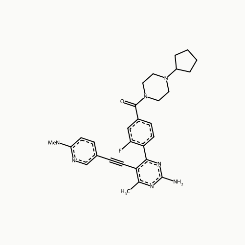 CNc1ccc(C#Cc2c(C)nc(N)nc2-c2ccc(C(=O)N3CCN(C4CCCC4)CC3)cc2F)cn1